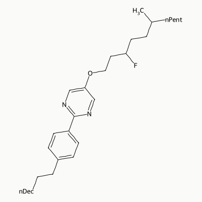 CCCCCCCCCCCCc1ccc(-c2ncc(OCCC(F)CCC(C)CCCCC)cn2)cc1